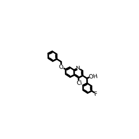 OC(c1cccc(F)c1)c1cnc2cc(OCc3ccccc3)ccc2c1Cl